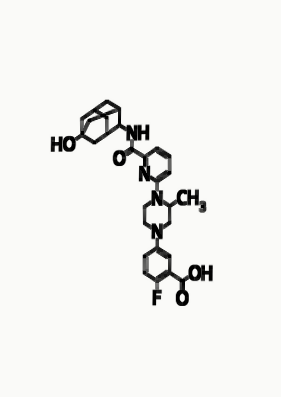 CC1CN(c2ccc(F)c(C(=O)O)c2)CCN1c1cccc(C(=O)NC2C3CC4CC2CC(O)(C4)C3)n1